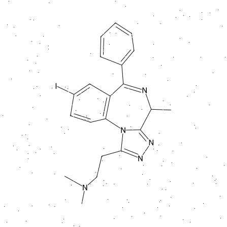 CC1N=C(c2ccccc2)c2cc(I)ccc2-n2c(CCN(C)C)nnc21